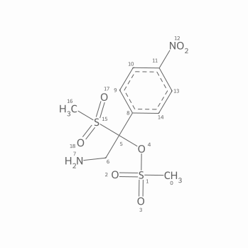 CS(=O)(=O)OC(CN)(c1ccc([N+](=O)[O-])cc1)S(C)(=O)=O